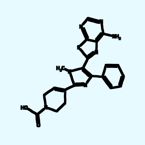 Cn1c(C2=CCN(C(=O)O)CC2)nc(-c2ccccc2)c1-c1nc2c(N)ncnc2s1